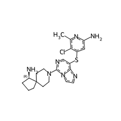 Cc1nc(N)cc(Sc2cnc(N3CCC4(CCC[C@H]4N)CC3)n3ccnc23)c1Cl